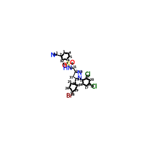 N#Cc1cccc(S(=O)(=O)NCC2=NN(c3ccc(Cl)cc3Cl)C(c3ccc(Br)cc3)C2)c1